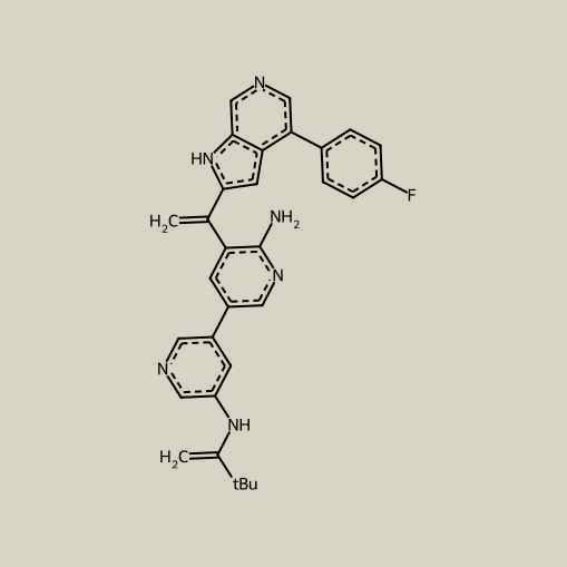 C=C(c1cc2c(-c3ccc(F)cc3)cncc2[nH]1)c1cc(-c2cncc(NC(=C)C(C)(C)C)c2)cnc1N